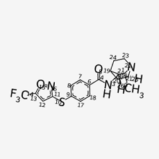 C[C@H]1[C@H](NC(=O)c2ccc(Sc3cc(C(F)(F)F)on3)cc2)C2CCN1CC2